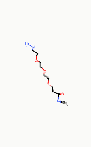 C=NC(=O)CCOCCOCCOCCNN